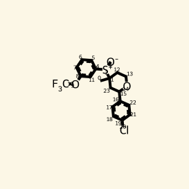 CC1([S+]([O-])c2cccc(OC(F)(F)F)c2)CCOC(c2ccc(Cl)cc2)C1